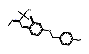 C=c1cc(OCc2ccc(F)cc2)cc/c1=C/C(=C\C)C(C)(C)O